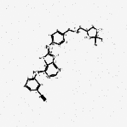 C#Cc1cccc(Nc2ncnc3nc(Nc4ccc(CNCC5COC(C)(C)O5)cc4)sc23)c1